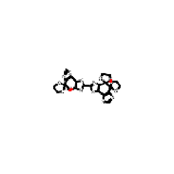 c1nc2c(s1)-c1sc(-c3nc4c(s3)-c3scnc3C3(OCCO3)C43OCCO3)nc1C1(OCCO1)C21OCCO1